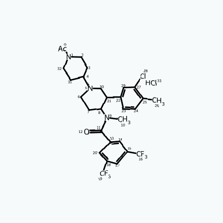 CC(=O)N1CCC(N2CCC(N(C)C(=O)c3cc(C(F)(F)F)cc(C(F)(F)F)c3)C(c3ccc(C)c(Cl)c3)C2)CC1.Cl